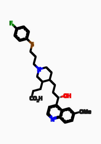 COc1ccc2nccc([C@@H](O)CCC3CCN(CCCSc4ccc(F)cc4)CC3CCC(=O)O)c2c1